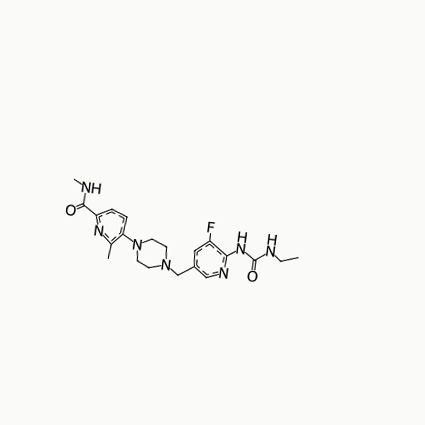 CCNC(=O)Nc1ncc(CN2CCN(c3ccc(C(=O)NC)nc3C)CC2)cc1F